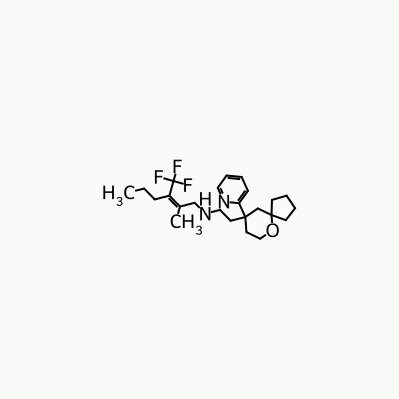 CCC/C(=C(\C)CNCCC1(c2ccccn2)CCOC2(CCCC2)C1)C(F)(F)F